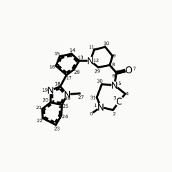 CN1CCCN(C(=O)C2CCCN(c3cccc(-c4nc5ccccc5n4C)c3)C2)CC1